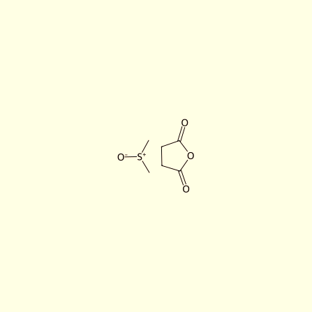 C[S+](C)[O-].O=C1CCC(=O)O1